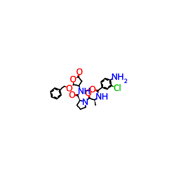 C[C@H](NC(=O)c1ccc(N)c(Cl)c1)C(=O)N1CCC[C@H]1C(=O)NC1CC(=O)OC1OCc1ccccc1